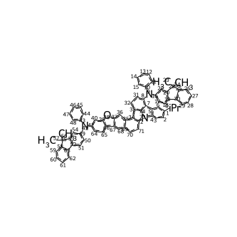 CC(C)c1ccc2c(c1)c1c(N(c3ccccc3)c3ccc4c(c3)C(C)(C)c3ccccc3-4)ccc3c4c5cc6oc7cc(N(c8ccccc8)c8ccc9c(c8)C(C)(C)c8ccccc8-9)ccc7c6cc5ccc4n2c31